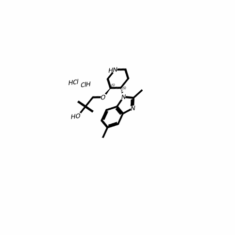 Cc1ccc2c(c1)nc(C)n2[C@H]1CCNC[C@@H]1OCC(C)(C)O.Cl.Cl